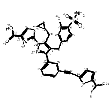 NS(=O)(=O)c1ccc(Cc2c(-c3cccc(C#Cc4ccc(C(F)F)s4)c3)nn(-c3nc(C(=O)O)cs3)c2CC2CC2)cc1F